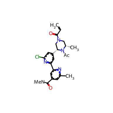 C=CC(=O)N1C[C@H](C)N(C(C)=O)[C@H](c2cc(Cl)nc(-c3cc(C(=O)NC)cc(C)n3)c2)C1